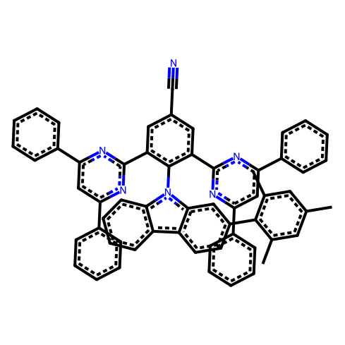 Cc1cc(C)c(-c2ccc3c4ccccc4n(-c4c(-c5nc(-c6ccccc6)cc(-c6ccccc6)n5)cc(C#N)cc4-c4nc(-c5ccccc5)cc(-c5ccccc5)n4)c3c2)c(C)c1